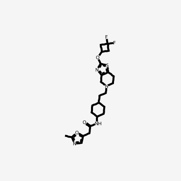 Cc1ncc(CC(=O)NC2CCC(CCN3CCc4sc(OC5CC(F)(F)C5)nc4C3)CC2)o1